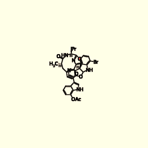 CC(=O)Oc1cccc2c(-c3cnc(-c4nc5oc4[C@]46c7cc(ccc7OC4Nc4c(Br)cccc46)C[C@H](C)C(=O)N[C@H]5C(C)C)o3)c[nH]c12